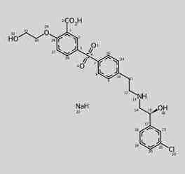 O=C(O)c1cc(S(=O)(=O)c2ccc(CCNC[C@@H](O)c3cccc(Cl)c3)cc2)ccc1OCCO.[NaH]